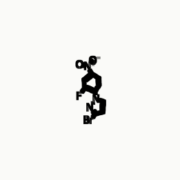 O=[N+]([O-])c1ccc(-n2ccc(Br)n2)c(F)c1